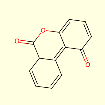 O=C1C=CC=C2OC(=O)C3C=CC=CC3=C12